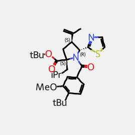 C=C(C)[C@@H]1C[C@@](CC(C)C)(C(=O)OC(C)(C)C)N(C(=O)c2ccc(C(C)(C)C)c(OC)c2)[C@H]1c1nccs1